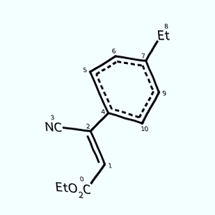 CCOC(=O)C=C(C#N)c1ccc(CC)cc1